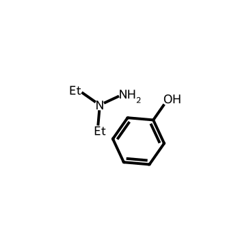 CCN(N)CC.Oc1ccccc1